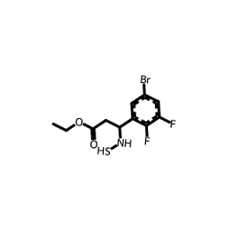 CCOC(=O)CC(NS)c1cc(Br)cc(F)c1F